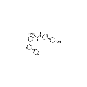 O=C(Nc1ccc(N2CCC(O)CC2)nc1)c1n[nH]c2ccc(-c3cncc(N4CCOCC4)c3)cc12